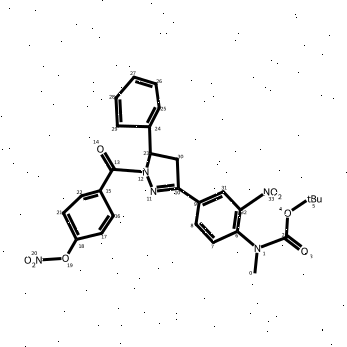 CN(C(=O)OC(C)(C)C)c1ccc(C2=NN(C(=O)c3ccc(O[N+](=O)[O-])cc3)C(c3ccccc3)C2)cc1[N+](=O)[O-]